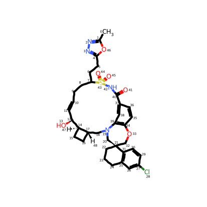 Cc1nnc(CCC2CC/C=C/[C@H](O)[C@@H]3CC[C@H]3CN3C[C@@]4(CCCc5cc(Cl)ccc54)COc4ccc(cc43)C(=O)NS2(=O)=O)o1